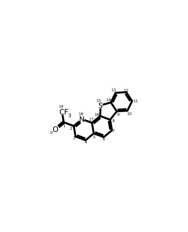 O=C(c1ccc2ccc3c4ccccc4sc3c2n1)C(F)(F)F